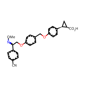 CO/N=C(\COc1ccc(COc2ccc([C@H]3C[C@H]3C(=O)O)cc2)cc1)c1ccc(C#N)cc1